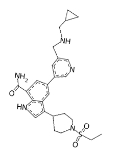 CCS(=O)(=O)N1CCC(c2c[nH]c3c(C(N)=O)cc(-c4cncc(CNCC5CC5)c4)cc23)CC1